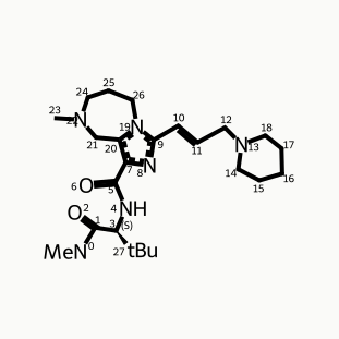 CNC(=O)[C@@H](NC(=O)c1nc(C=CCN2CCCCC2)n2c1CN(C)CCC2)C(C)(C)C